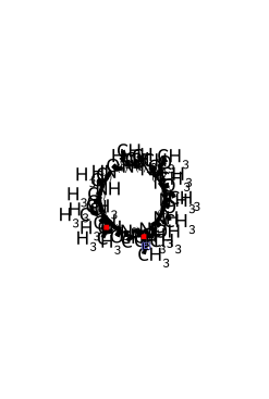 C/C=C/C[C@@H](C)[C@@H](O)C1C(=O)N[C@@H](CC)C(=O)N(C)[C@H](CC)C(=O)N(C)[C@@H]([C@H](C)COC)C(=O)N[C@@H](C(C)C)C(=O)N(C)[C@@H](CC(C)C)C(=O)N[C@@H](C)C(=O)N[C@H](C)C(=O)N(C)[C@@H](CC(C)C)C(=O)N(C)[C@@H](CC(C)C)C(=O)N(C)[C@@H](C(C)C)C(=O)N1C